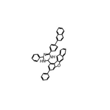 c1ccc(-c2cc(C3NC(c4ccc(-c5ccc6ccccc6c5)cc4)=NC(c4ccccc4)N3)c3c(c2)oc2cc4ccccc4cc23)cc1